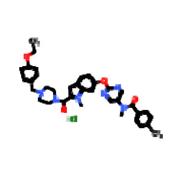 CN(C(=O)c1ccc(C(F)(F)F)cc1)c1cnc(Oc2ccc3cc(C(=O)N4CCN(Cc5ccc(OCC(F)(F)F)cc5)CC4)n(C)c3c2)nc1.Cl